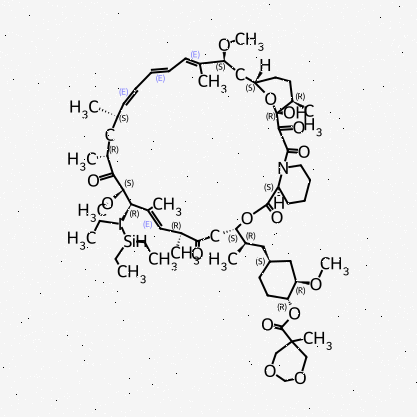 CC[SiH](CC)I(CC)[C@@H]1/C(C)=C/[C@@H](C)C(=O)C[C@@H]([C@H](C)C[C@@H]2CC[C@@H](OC(=O)C3(C)COCOC3)[C@H](OC)C2)OC(=O)[C@@H]2CCCCN2C(=O)C(=O)[C@]2(O)O[C@@H](CC[C@H]2C)C[C@H](OC)/C(C)=C/C=C/C=C/[C@@H](C)C[C@@H](C)C(=O)[C@@H]1OC